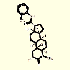 CN1C(=O)[C@H](F)C[C@]2(C)[C@H]3CC[C@]4(C)[C@@H](C(=O)Nc5ccccc5C(F)(F)F)CC[C@H]4[C@@H]3CC[C@@H]12